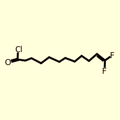 O=C(Cl)CCCCCCCCCC=C(F)F